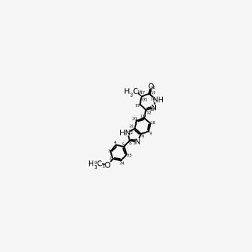 COc1ccc(-c2nc3ccc(C4=NNC(=O)[C@H](C)C4)cc3[nH]2)cc1